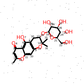 Cc1cc(=O)c2c(O)c3c(cc2o1)OC(C)(C)[C@@H](O[C@@H]1O[C@H](CO)[C@@H](O)[C@H](O)[C@H]1O)C3